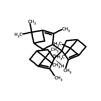 CC1=C2CC(CC1C1([C@@H]3CC4CC(=C3C)C4(C)C)CC3CC(=C1C)C3(C)C)C2(C)C